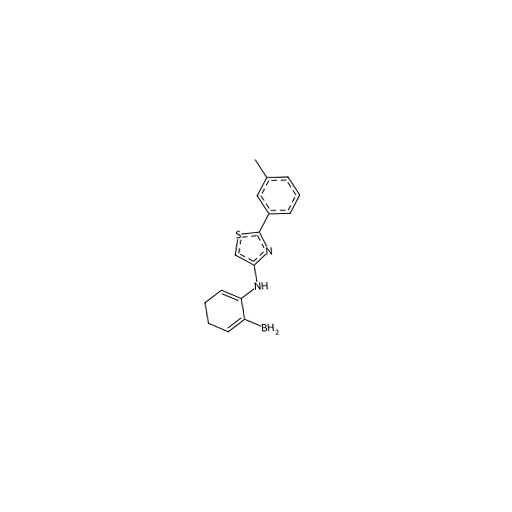 BC1=CCCC=C1Nc1csc(-c2cccc(C)c2)n1